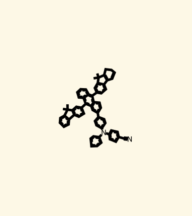 CC1(C)C2=C(C=CCC2)c2ccc(-c3c4ccccc4c(-c4ccc5c(c4)C(C)(C)c4ccccc4-5)c4cc(-c5ccc(N(c6ccccc6)c6ccc(C#N)cc6)cc5)ccc34)cc21